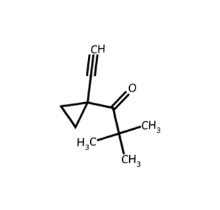 C#CC1(C(=O)C(C)(C)C)CC1